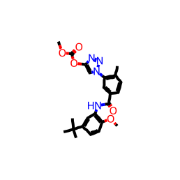 COC(=O)Oc1cn(-c2cc(C(=O)Nc3cc(C(C)(C)C)ccc3OC)ccc2C)nn1